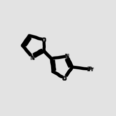 CC(C)c1nc(-c2ncco2)co1